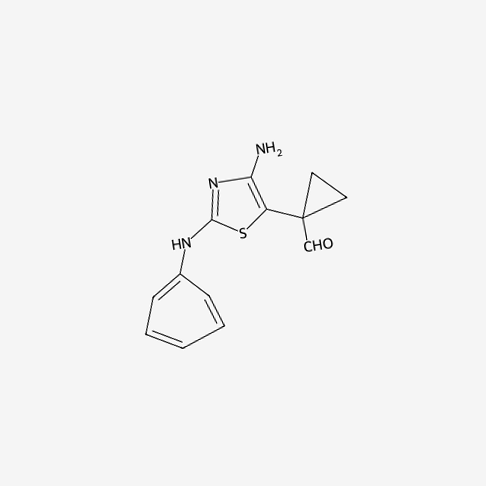 Nc1nc(Nc2ccccc2)sc1C1(C=O)CC1